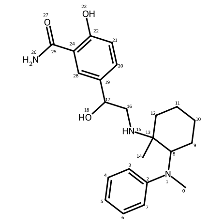 CN(c1ccccc1)C1CCCCC1(C)NCC(O)c1ccc(O)c(C(N)=O)c1